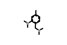 Cc1ccc(CN(C)C)[c]([Bi]([CH3])[CH3])c1